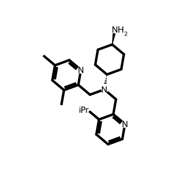 Cc1cnc(CN(Cc2ncccc2C(C)C)[C@H]2CC[C@H](N)CC2)c(C)c1